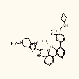 CCn1c(C(=O)Nc2cccc(-c3cccc(-c4ccc(CNC5COC5)c(OC)n4)c3Cl)c2Cl)nc2c1CCN(C)C2